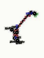 CC[C@H](C(=O)N1CCCC[C@H]1C(=O)O[C@@H](CCc1ccc(OC)c(OC)c1)c1ccccc1OCC(=O)NCCOCCOCCOCCOCCC(=O)NC1=NN(c2ccc(Cl)c(Cl)c2)CC1)c1cc(OC)c(OC)c(OC)c1